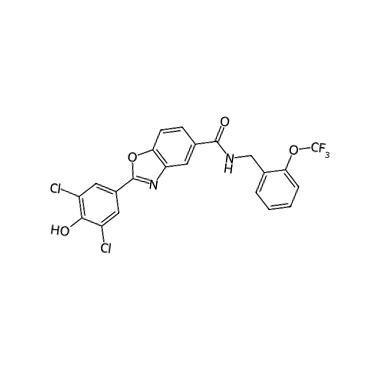 O=C(NCc1ccccc1OC(F)(F)F)c1ccc2oc(-c3cc(Cl)c(O)c(Cl)c3)nc2c1